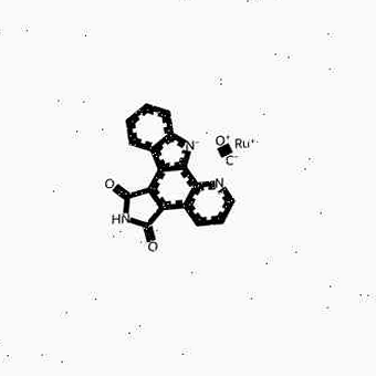 O=C1NC(=O)c2c1c1cccnc1c1[n-]c3ccccc3c21.[C-]#[O+].[Ru+]